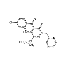 CS(=O)(=O)O.O=c1c2ccc(Cl)cc2[nH]c2c(O)nn(Cc3cnccn3)c(=O)c12